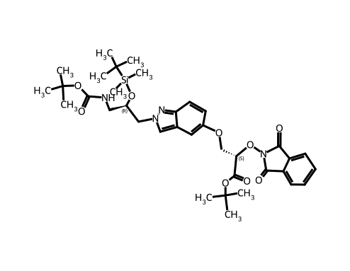 CC(C)(C)OC(=O)NC[C@H](Cn1cc2cc(OC[C@H](ON3C(=O)c4ccccc4C3=O)C(=O)OC(C)(C)C)ccc2n1)O[Si](C)(C)C(C)(C)C